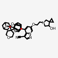 N#Cc1cnn2cc(OCCN3CC(O)C4(CC4)C3)cc(-c3ccc(N4CC5CC(C4)N5C(=O)C4(c5ccccc5)CCOCC4)nc3)c12